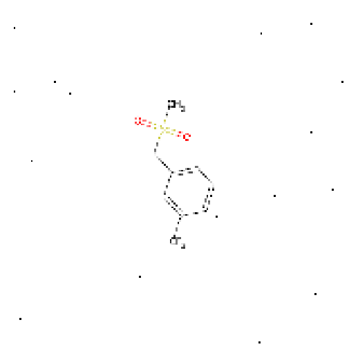 CS(=O)(=O)Cc1cccc(C(F)(F)F)c1